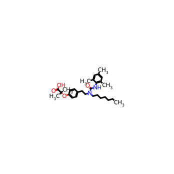 CCCCCCCN(CCc1ccc(OC(C)(C)C(=O)O)cc1)C(=O)Nc1c(C)cc(C)cc1C